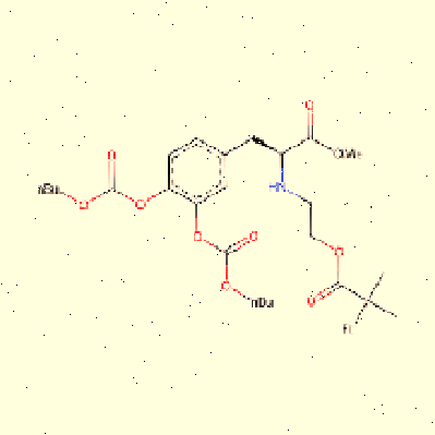 CCCCOC(=O)Oc1ccc(C[C@H](NCCOC(=O)C(C)(C)CC)C(=O)OC)cc1OC(=O)OCCCC